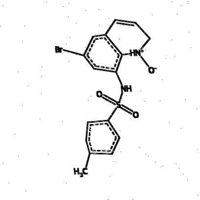 Cc1ccc(S(=O)(=O)Nc2cc(Br)cc3c2[NH+]([O-])CC=C3)cc1